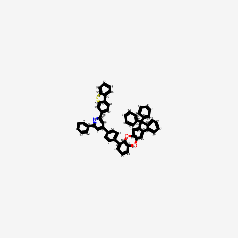 c1ccc(-c2cc(-c3ccc(-c4cccc5c4Oc4cc6c(cc4O5)-c4ccccc4C6(c4ccccc4)c4ccccc4)cc3)cc(-c3ccc4c(c3)sc3ccccc34)n2)cc1